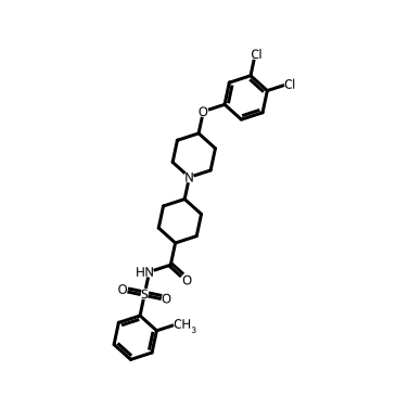 Cc1ccccc1S(=O)(=O)NC(=O)C1CCC(N2CCC(Oc3ccc(Cl)c(Cl)c3)CC2)CC1